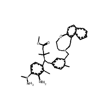 COC(=O)C(C)(C)C(c1ccc(C)c(CN2CCOc3ccc4ccccc4c3C2)c1)c1ccc(N(C)N)c(N)c1C